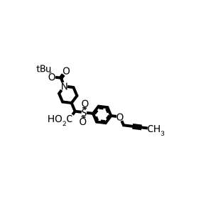 CC#CCOc1ccc(S(=O)(=O)C(C(=O)O)C2CCN(C(=O)OC(C)(C)C)CC2)cc1